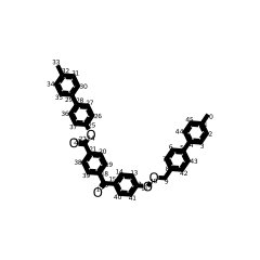 Cc1ccc(-c2ccc(COOc3ccc(C(=O)c4ccc(C(=O)Oc5ccc(-c6ccc(C)cc6)cc5)cc4)cc3)cc2)cc1